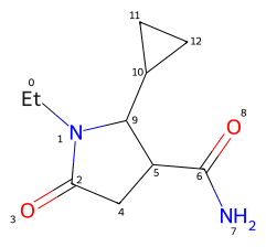 CCN1C(=O)CC(C(N)=O)C1C1CC1